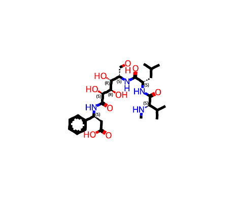 CN[C@H](C(=O)N[C@@H](CC(C)C)C(=O)N[C@@H](CO)[C@@H](O)[C@@H](O)[C@H](O)C(=O)N[C@@H](CC(=O)O)c1ccccc1)C(C)C